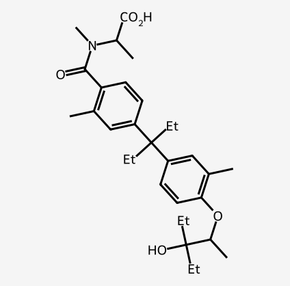 CCC(CC)(c1ccc(OC(C)C(O)(CC)CC)c(C)c1)c1ccc(C(=O)N(C)C(C)C(=O)O)c(C)c1